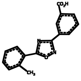 Cc1ccccc1-c1nc(-c2cccc(C(=O)O)c2)no1